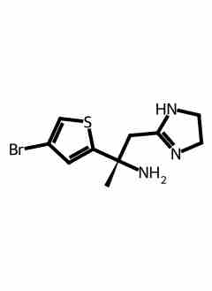 C[C@](N)(CC1=NCCN1)c1cc(Br)cs1